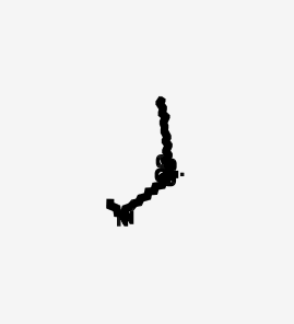 [CH2]C(COC(=O)CCCCCCCCCCCCC)OC(=O)CCCCCCCCCCC1(CCCC)N=N1